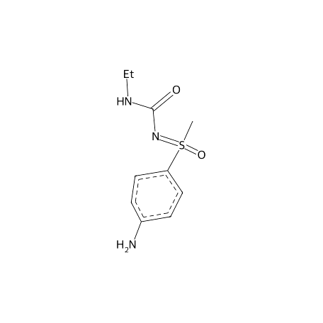 CCNC(=O)N=S(C)(=O)c1ccc(N)cc1